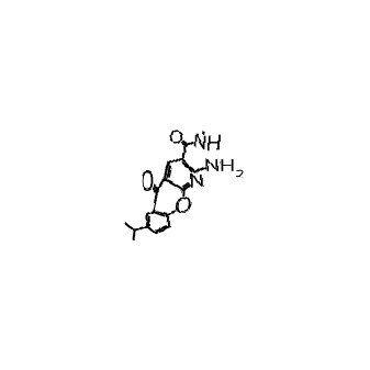 CNC(=O)c1cc2c(=O)c3cc(C(C)C)ccc3oc2nc1N